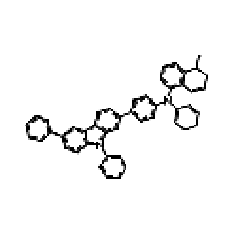 CC1CC=Cc2c1cccc2N(C1=CCCC=C1)c1ccc(-c2ccc3c4cc(-c5ccccc5)ccc4n(-c4ccccc4)c3c2)cc1